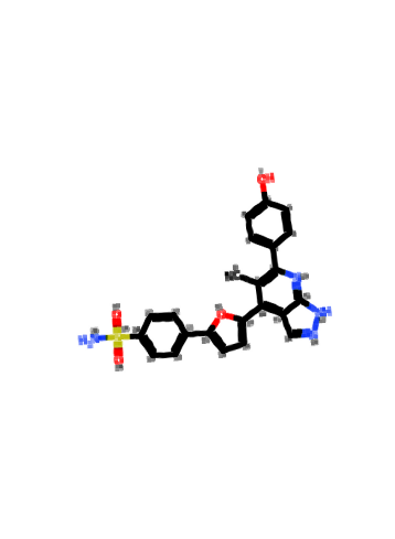 N#Cc1c(-c2ccc(O)cc2)nc2[nH]ncc2c1-c1ccc(-c2ccc(S(N)(=O)=O)cc2)o1